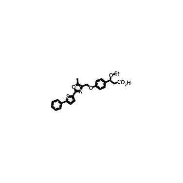 CCOC(CC(=O)O)c1ccc(OCc2nc(-c3ccc(-c4ccccc4)s3)oc2C)cc1